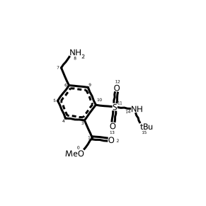 COC(=O)c1ccc(CN)cc1S(=O)(=O)NC(C)(C)C